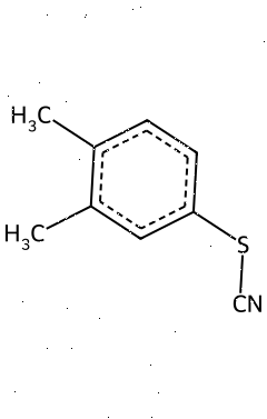 Cc1ccc(SC#N)cc1C